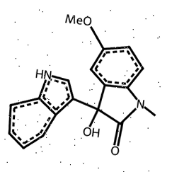 COc1ccc2c(c1)C(O)(c1c[nH]c3ccccc13)C(=O)N2C